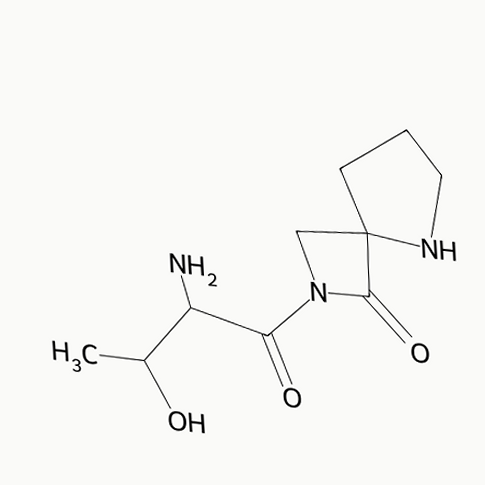 CC(O)C(N)C(=O)N1CC2(CCCN2)C1=O